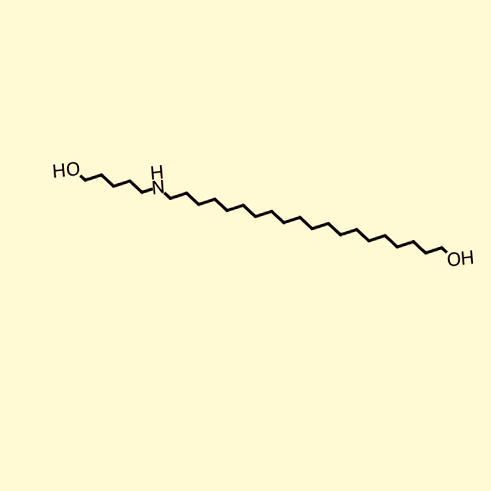 OCCCCCCCCCCCCCCCCCCCCNCCCCCO